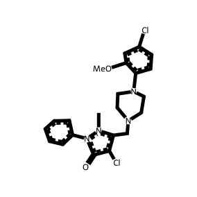 COc1cc(Cl)ccc1N1CCN(Cc2c(Cl)c(=O)n(-c3ccccc3)n2C)CC1